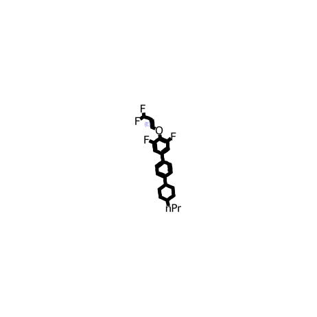 CCCC1CCC(c2ccc(-c3cc(F)c(O/C=C/C(F)F)c(F)c3)cc2)CC1